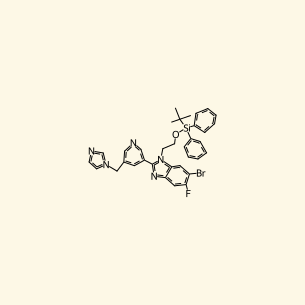 CC(C)(C)[Si](OCCn1c(-c2cncc(Cn3ccnc3)c2)nc2cc(F)c(Br)cc21)(c1ccccc1)c1ccccc1